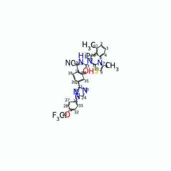 Cc1cccc(-n2c(C)cs/c2=N\C(O)NC(C#N)c2ccc(-c3ncn(-c4ccc(OC(F)(F)F)cc4)n3)cc2)c1C(C)C